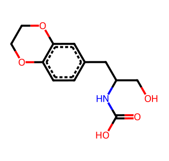 O=C(O)NC(CO)Cc1ccc2c(c1)OCCO2